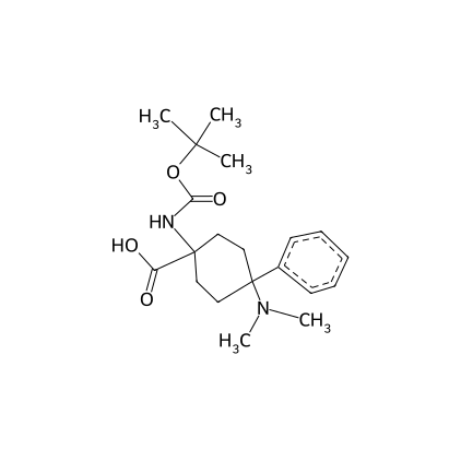 CN(C)C1(c2ccccc2)CCC(NC(=O)OC(C)(C)C)(C(=O)O)CC1